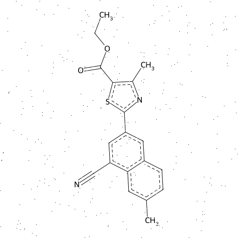 CCOC(=O)c1sc(-c2cc(C#N)c3cc(C)ccc3c2)nc1C